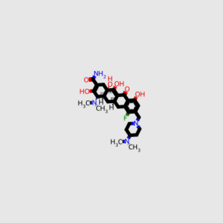 CN(C)C1CCN(Cc2cc(O)c3c(c2F)C[C@H]2C[C@H]4[C@H](N(C)C)C(O)=C(C(N)=O)C[C@@]4(O)C(O)=C2C3=O)CC1